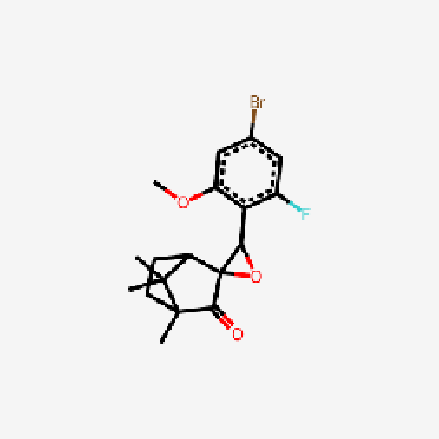 COc1cc(Br)cc(F)c1C1OC12C(=O)C1(C)CCC2C1(C)C